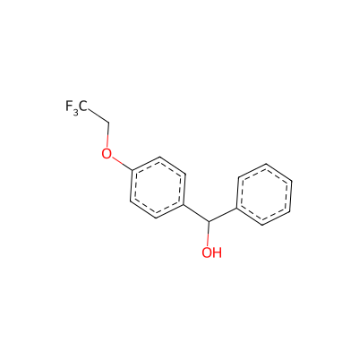 OC(c1ccccc1)c1ccc(OCC(F)(F)F)cc1